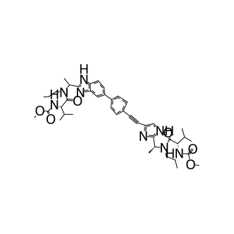 CCCN(C(=O)[C@@H](NC(=O)OC)C(C)C)C(C)c1nc2cc(-c3ccc(C#Cc4c[nH]c([C@H](C)N(CCC)C(=O)[C@@H](NC(=O)OC)C(C)C)n4)cc3)ccc2[nH]1